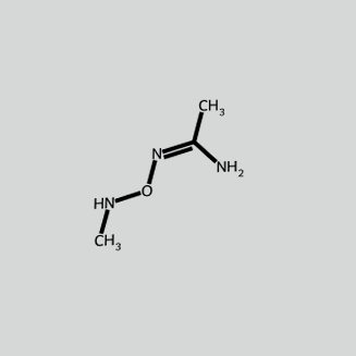 CNO/N=C(/C)N